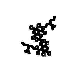 CCCC(CCOC(=O)c1c(Cl)c(Cl)cc(Cl)c1OC(=O)C(=O)Oc1c(Cl)cc(Cl)c(Cl)c1C(=O)OCCC(CCC)C1CC1)C1CC1